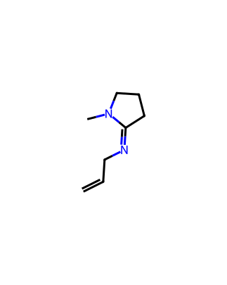 C=CCN=C1CCCN1C